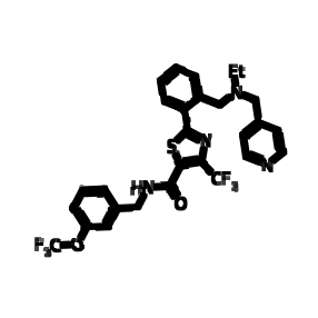 CCN(Cc1ccncc1)Cc1ccccc1-c1nc(C(F)(F)F)c(C(=O)NCc2cccc(OC(F)(F)F)c2)s1